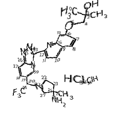 CC(C)(O)COc1ccc2ccc(-c3nnc4ccc([C@H](N5CC[C@](C)(N)C5)C(F)(F)F)cn34)nc2c1.Cl.Cl